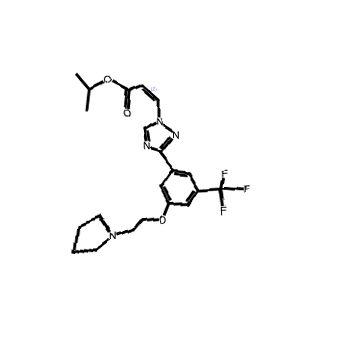 CC(C)OC(=O)/C=C\n1cnc(-c2cc(OCCN3CCCC3)cc(C(F)(F)F)c2)n1